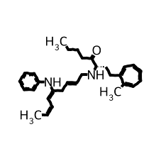 C/C=C\C=C(/C/C=C/CN[C@@H](CCC1=CC=C=CC=C1C)C(=O)CCCC)Nc1ccccc1